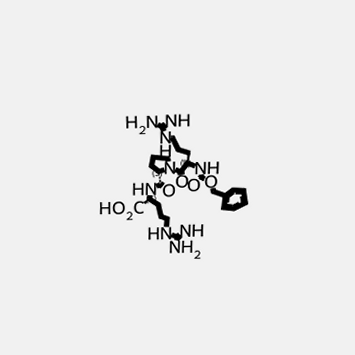 N=C(N)NCCC[C@H](NC(=O)[C@@H]1CCCN1C(=O)[C@@H](CCCNC(=N)N)NC(=O)OCc1ccccc1)C(=O)O